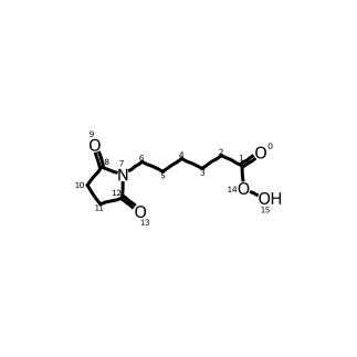 O=C(CCCCCN1C(=O)CCC1=O)OO